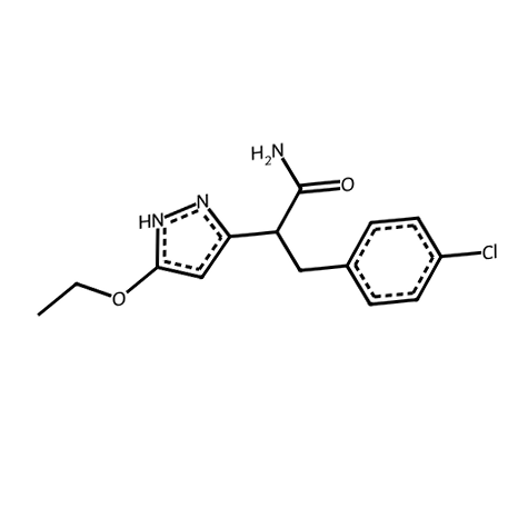 CCOc1cc(C(Cc2ccc(Cl)cc2)C(N)=O)n[nH]1